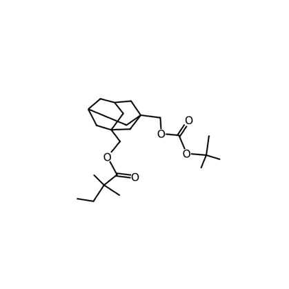 CCC(C)(C)C(=O)OCC12CC3CC(CC(COC(=O)OC(C)(C)C)(C3)C1)C2